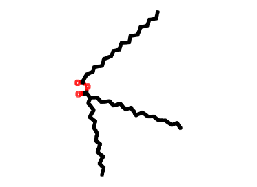 CCCCCCCCCCCCCCCCCC(=O)OC(=O)C(CCCCCCCCCCCCC)CCCCCCCCCCCCCCCC